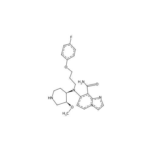 CO[C@H]1CNCC[C@H]1N(CCCOc1ccc(F)cc1)c1ccn2ccnc2c1C(N)=O